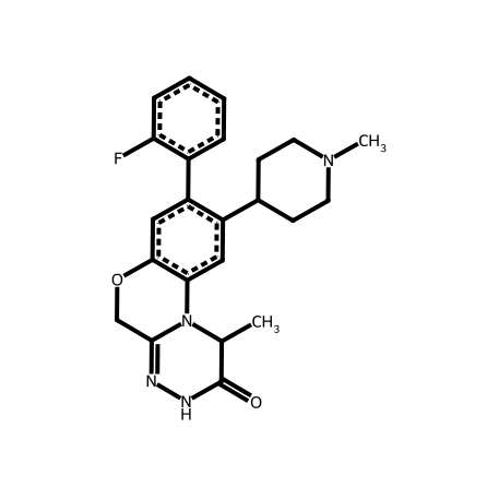 CC1C(=O)NN=C2COc3cc(-c4ccccc4F)c(C4CCN(C)CC4)cc3N21